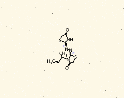 C=CC(C)N1C(=O)CS/C1=N/N=C1\NC(=O)CS1